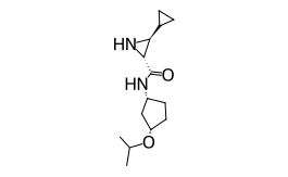 CC(C)O[C@H]1CC[C@@H](NC(=O)[C@@H]2N[C@H]2C2CC2)C1